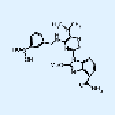 COc1nc2c(C(N)=O)cccc2n1-c1nnc(N(C)C)c(NCc2cccc(B(O)O)c2)n1